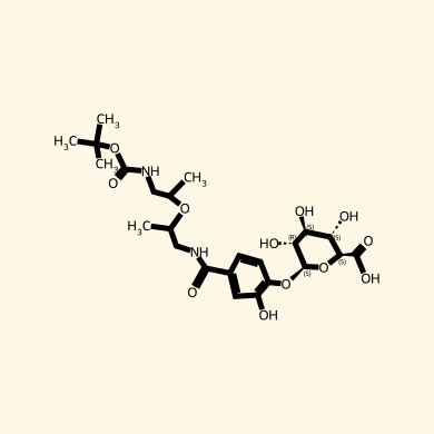 CC(CNC(=O)OC(C)(C)C)OC(C)CNC(=O)c1ccc(O[C@@H]2O[C@H](C(=O)O)[C@@H](O)[C@H](O)[C@H]2O)c(O)c1